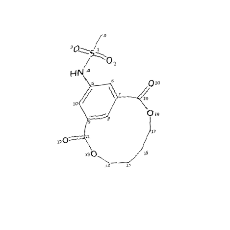 CS(=O)(=O)Nc1cc2cc(c1)C(=O)OCCCCOC2=O